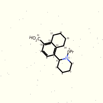 CCCN1CCCCC1c1ccc(C(=O)O)c2c1CCCC2